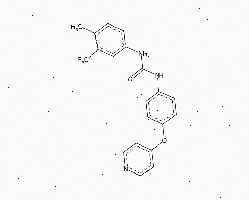 Cc1ccc(NC(=O)Nc2ccc(Oc3ccncc3)cc2)cc1C(F)(F)F